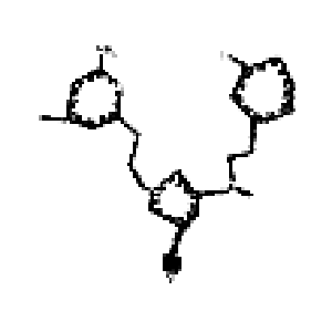 Cc1cc(N)nc(CCc2cc(C#N)cc(N(C)CCc3cccc(F)c3)c2)c1